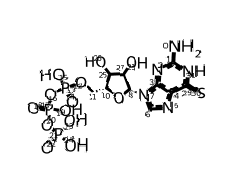 Nc1nc2c(ncn2[C@@H]2O[C@H](COP(=O)(O)OP(=O)(O)OP(=O)(O)O)C(O)C2O)c(=S)[nH]1